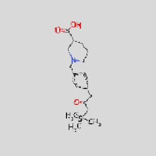 C[Si](C)(C)CC(=O)Cc1ccc(CN2CCCC(C(=O)O)C2)cc1